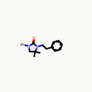 CC(C)N1CC(C)(C)N(CCc2ccccc2)C1=O